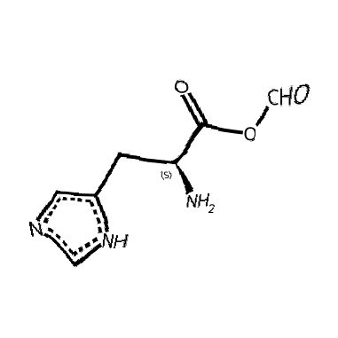 N[C@@H](Cc1cnc[nH]1)C(=O)OC=O